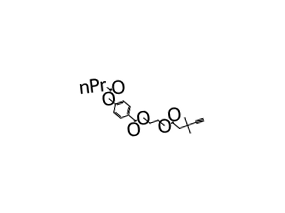 C#CC(C)(C)CC(=O)OCCOC(=O)c1ccc(OC(=O)CCC)cc1